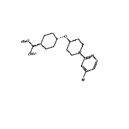 COC(OC)[C@H]1CC[C@H](OC2CCN(c3cc(Br)ccn3)CC2)CC1